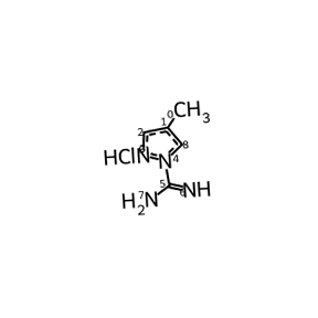 Cc1cnn(C(=N)N)c1.Cl